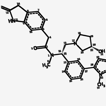 CN(C(=O)Cc1ccc2c(c1)NC(=O)C2)[C@H](CN1CC[C@H](O)C1)c1cccc(-c2cncn2C)c1